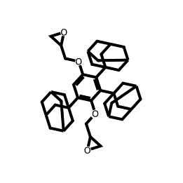 c1c(OCC2CO2)c(C23CC4CC(CC(C4)C2)C3)c(C23CC4CC(CC(C4)C2)C3)c(OCC2CO2)c1C12CC3CC(CC(C3)C1)C2